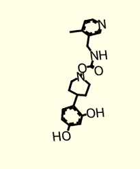 Cc1ccncc1CNC(=O)ON1CCC(c2ccc(O)cc2O)CC1